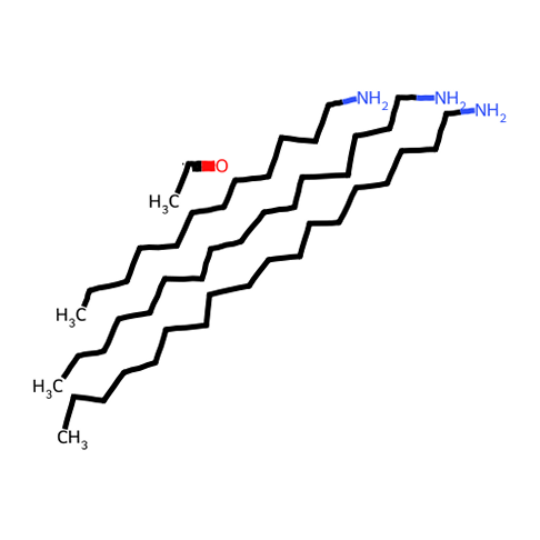 CCCCCCCCCCCCCCCCCCN.CCCCCCCCCCCCCCCCN.CCCCCCCCCCCCN.C[C]=O